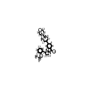 O=c1c2ccc(-c3cnc(N4CCOCC4)nc3)cc2n2n1CCC2c1ccccc1OC(F)F